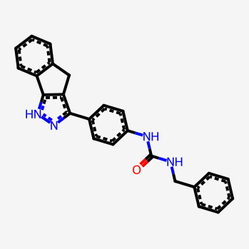 O=C(NCc1ccccc1)Nc1ccc(-c2n[nH]c3c2Cc2ccccc2-3)cc1